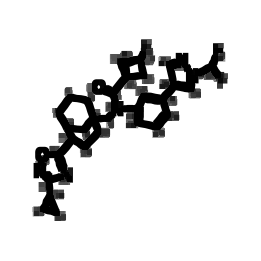 O=C(N(CC12CCCC(C1)C(c1nc(C3CC3)no1)CC2)c1cccc(-c2cnn(C(F)F)c2)c1)C12CC(F)(C1)C2